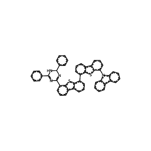 c1ccc(C2=NC(c3cccc4c3sc3c(-c5cccc6c5sc5c(-n7c8ccccc8c8ccccc87)cccc56)cccc34)=NC(c3ccccc3)N2)cc1